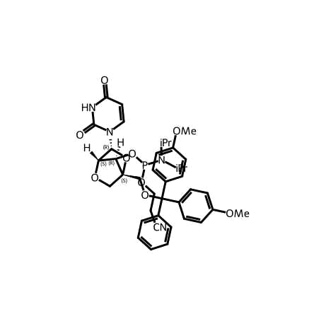 COc1ccc(C(OC[C@]23CO[C@H]([C@H](n4ccc(=O)[nH]c4=O)O2)[C@H]3OP(OCCC#N)N(C(C)C)C(C)C)(c2ccccc2)c2ccc(OC)cc2)cc1